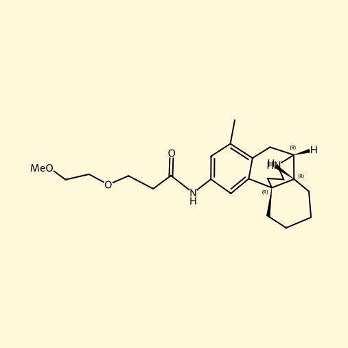 COCCOCCC(=O)Nc1cc(C)c2c(c1)[C@@]13CCCC[C@H]1[C@@H](C2)NCC3